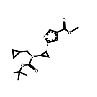 COC(=O)c1csc([C@@H]2C[C@H]2N(CC2CC2)C(=O)OC(C)(C)C)c1